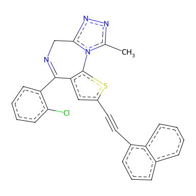 Cc1nnc2n1-c1sc(C#Cc3cccc4ccccc34)cc1C(c1ccccc1Cl)=NC2